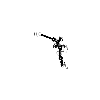 C=CC(=O)OCC1CCC(COC(=O)NCC2(C)CC(NC(=O)OC(COC(=O)C(C)=O)COc3ccc(C#CC#CC#CC#CC)cc3)CC(C)(C)C2)CC1